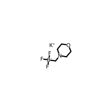 F[B-](F)(F)CN1CCOCC1.[K+]